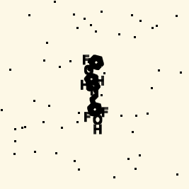 Oc1c(F)cc(CCN2C[C@H]3CC(Oc4ccccc4F)C[C@H]3C2)cc1F